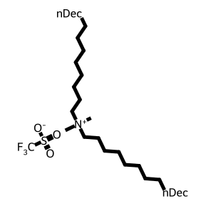 CCCCCCCCCCCCCCCCCC[N+](C)(C)CCCCCCCCCCCCCCCCCC.O=S(=O)([O-])C(F)(F)F